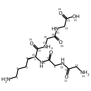 NCCCC[C@H](NC(=O)CNC(=O)CN)C(=O)NCC(=O)NCC(=O)O